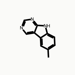 Cc1ccc2[nH]c3ncncc3c2c1